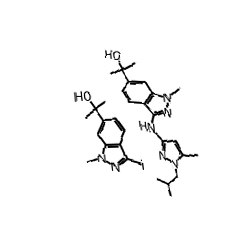 Cc1cc(Nc2nn(C)c3cc(C(C)(C)O)ccc23)nn1CC(C)C.Cn1nc(I)c2ccc(C(C)(C)O)cc21